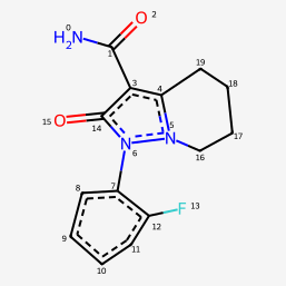 NC(=O)c1c2n(n(-c3ccccc3F)c1=O)CCCC2